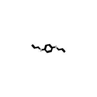 C=CCSc1ccc(SCC=C)cc1